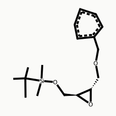 CC(C)(C)[Si](C)(C)OC[C@@H]1O[C@H]1COCc1ccccc1